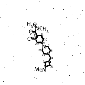 CNC1CC(CC2CCN(c3ccc(C(=O)N(C)C)c(Cl)c3)CC2)C1